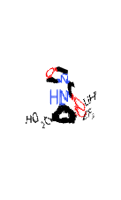 CC(C(=O)Nc1cc(C(=O)O)ccc1OC(F)(F)F)N1CCOCC1.[LiH]